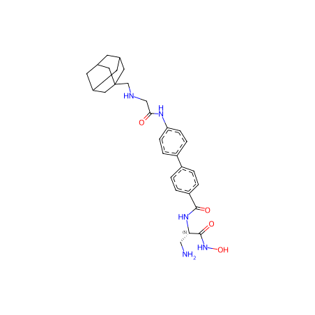 NC[C@H](NC(=O)c1ccc(-c2ccc(NC(=O)CNCC34CC5CC(CC(C5)C3)C4)cc2)cc1)C(=O)NO